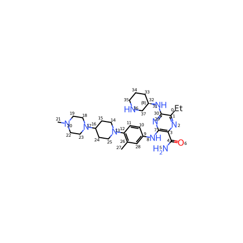 CCc1nc(C(N)=O)c(Nc2ccc(N3CCC(N4CCN(C)CC4)CC3)c(C)c2)nc1N[C@@H]1CCCNC1